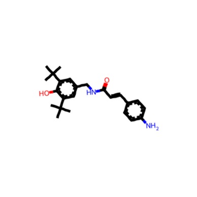 CC(C)(C)c1cc(CNC(=O)C=Cc2ccc(N)cc2)cc(C(C)(C)C)c1O